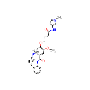 COC1=C(OCCCC(=O)Nc2ccn(C)c2)C[C@H]2N=C[C@@H]3Cc4ccccc4N3C(=O)C2=C1